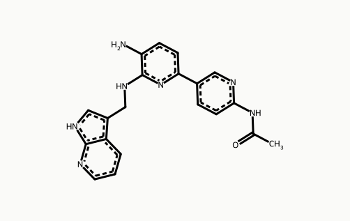 CC(=O)Nc1ccc(-c2ccc(N)c(NCc3c[nH]c4ncccc34)n2)cn1